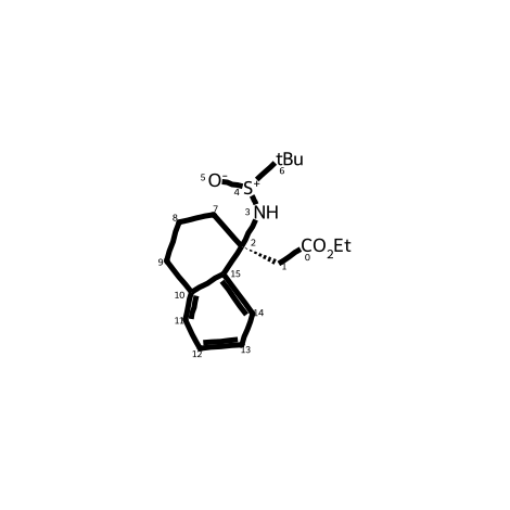 CCOC(=O)C[C@@]1(N[S+]([O-])C(C)(C)C)CCCc2ccccc21